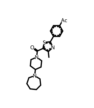 CC(=O)c1ccc(-c2nc(C)c(C(=O)N3CCC(N4CCCCCC4)CC3)s2)cc1